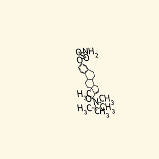 CC(C)N(C(=O)C1=CCC2C3CCc4cc(OS(N)(=O)=O)ccc4C3CCC12C)C(C)C